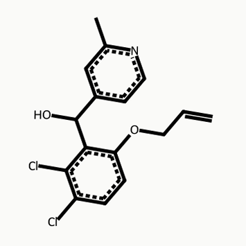 C=CCOc1ccc(Cl)c(Cl)c1C(O)c1ccnc(C)c1